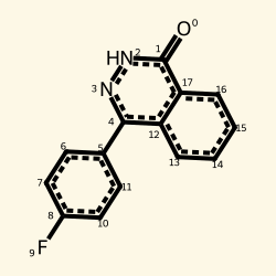 O=c1[nH]nc(-c2ccc(F)cc2)c2ccccc12